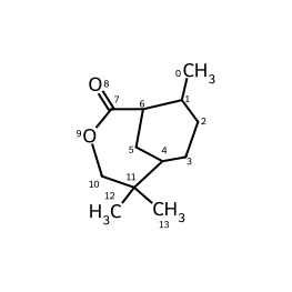 CC1CCC2CC1C(=O)OCC2(C)C